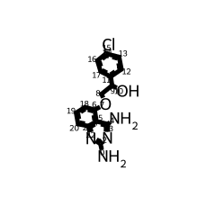 Nc1nc(N)c2c(OCC(O)c3ccc(Cl)cc3)cccc2n1